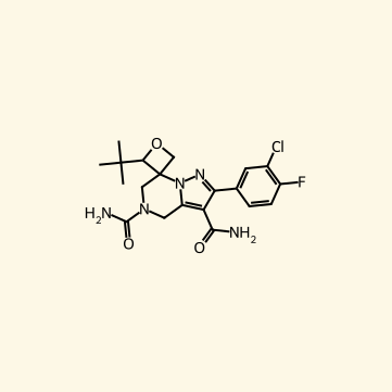 CC(C)(C)C1OCC12CN(C(N)=O)Cc1c(C(N)=O)c(-c3ccc(F)c(Cl)c3)nn12